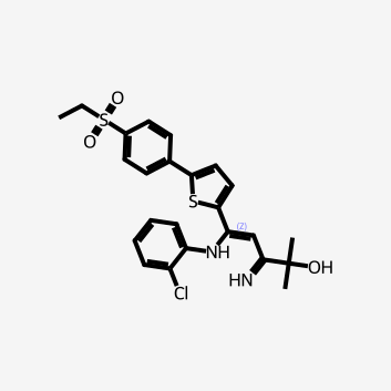 CCS(=O)(=O)c1ccc(-c2ccc(/C(=C/C(=N)C(C)(C)O)Nc3ccccc3Cl)s2)cc1